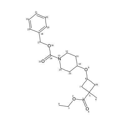 CCOC(=O)C1(C)CC(OC2CCN(C(=O)OCc3ccccc3)CC2)C1